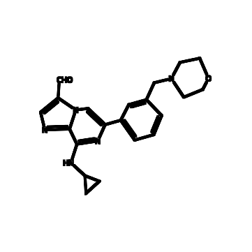 O=Cc1cnc2c(NC3CC3)nc(-c3cccc(CN4CCOCC4)c3)cn12